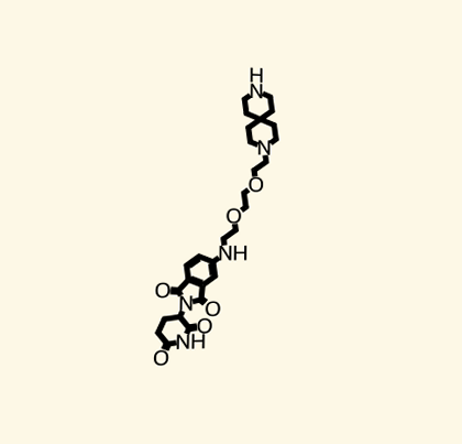 O=C1CCC(N2C(=O)c3ccc(NCCOCCOCCN4CCC5(CCNCC5)CC4)cc3C2=O)C(=O)N1